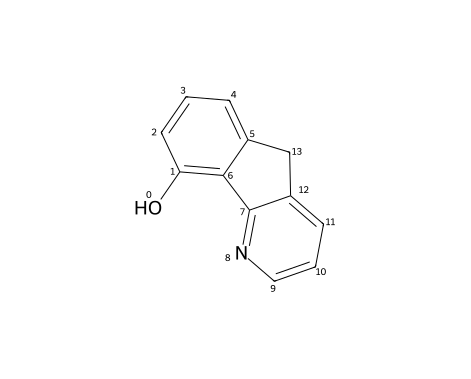 Oc1cccc2c1-c1ncccc1C2